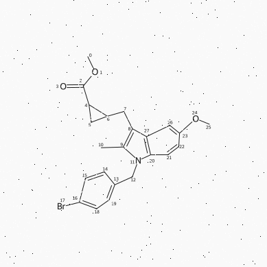 COC(=O)C1CC1Cc1c(C)n(Cc2ccc(Br)cc2)c2ccc(OC)cc12